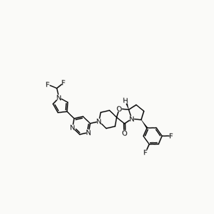 O=C1N2[C@@H](CC[C@H]2c2cc(F)cc(F)c2)OC12CCN(c1cc(-c3ccn(C(F)F)c3)ncn1)CC2